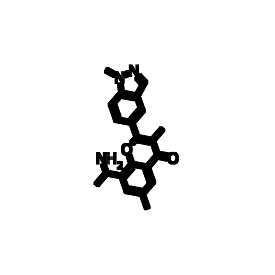 Cc1cc(C(C)N)c2oc(-c3ccc4c(cnn4C)c3)c(C)c(=O)c2c1